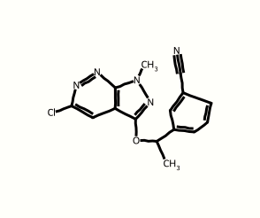 CC(Oc1nn(C)c2nnc(Cl)cc12)c1cccc(C#N)c1